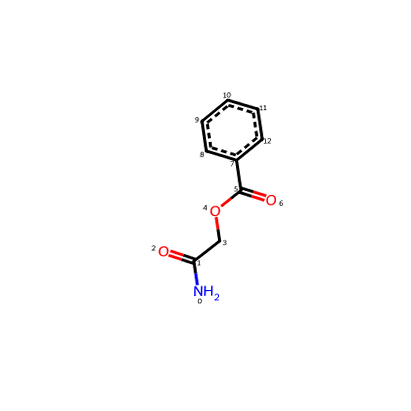 NC(=O)COC(=O)c1ccccc1